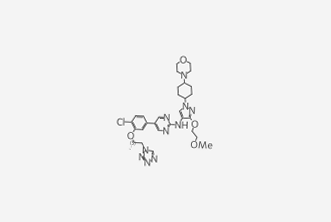 COCCOc1nn(C2CCC(N3CCOCC3)CC2)cc1Nc1ncc(-c2ccc(Cl)c(O[C@@H](C)Cn3cnnn3)c2)cn1